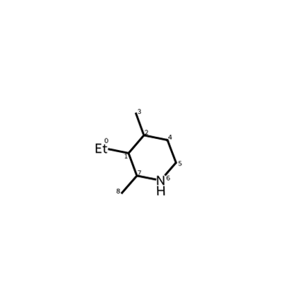 CCC1C(C)CCNC1C